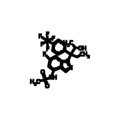 CCC(c1ccc(S(F)(F)(F)(F)F)cc1)(C(C)O)n1ncc2c(NS(C)(=O)=O)cc(F)cc21